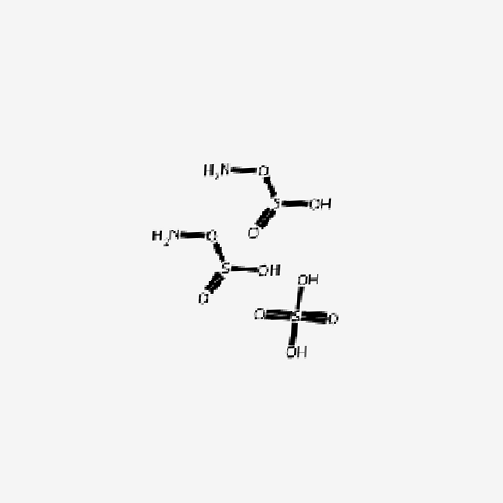 NOS(=O)O.NOS(=O)O.O=S(=O)(O)O